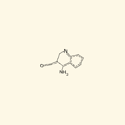 NC1=c2ccccc2=NCC1=C=O